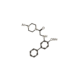 COc1ccc(-c2ccccc2)cc1NCC(=O)N1CCN(C(C)=O)CC1